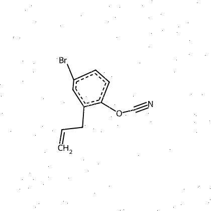 C=CCc1cc(Br)ccc1OC#N